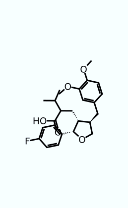 COc1ccc(C[C@H]2CO[C@H](c3ccc(F)cc3)[C@@H]2CC(C(=O)O)C(C)C)cc1OC